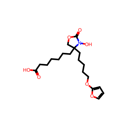 O=C(O)CCCCCCC1(CCCCCOc2ccco2)COC(=O)N1O